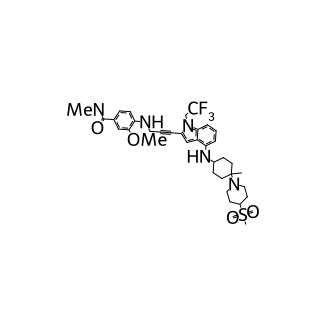 CNC(=O)c1ccc(NCC#Cc2cc3c(NC4CCC(C)(N5CCC(S(C)(=O)=O)CC5)CC4)cccc3n2CC(F)(F)F)c(OC)c1